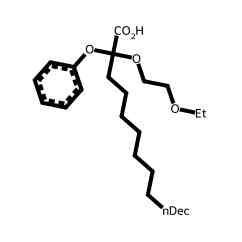 CCCCCCCCCCCCCCCCCC(OCCOCC)(Oc1ccccc1)C(=O)O